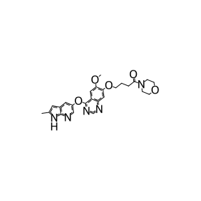 COc1cc2c(Oc3cnc4[nH]c(C)cc4c3)ncnc2cc1OCCCC(=O)N1CCOCC1